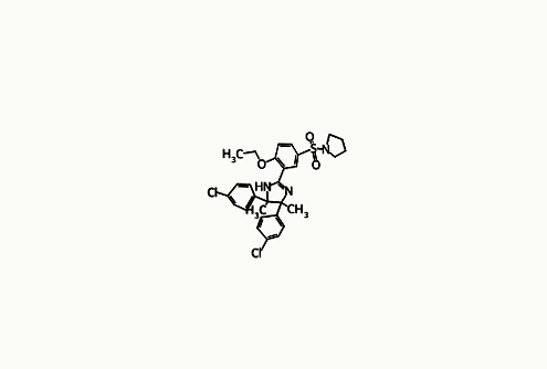 CCOc1ccc(S(=O)(=O)N2CCCC2)cc1C1=NC(C)(c2ccc(Cl)cc2)C(C)(c2ccc(Cl)cc2)N1